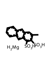 Cc1cc2cc3ccccc3cc2c(S(=O)(=O)O)c1S(=O)(=O)O.[MgH2]